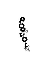 COC(=O)CC[C@H]1CC[C@H](N2CCN(c3ccc4c(c3)CCN(Cc3ccccc3)CC4)C2=O)CC1.Cl